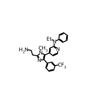 CCN(c1ccccc1)c1cc(-c2c(-c3cccc(C(F)(F)F)c3)nc(CCN)n2C)ccn1